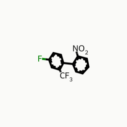 O=[N+]([O-])c1ccccc1-c1ccc(F)cc1C(F)(F)F